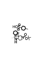 C[C@@H](NC1CCN(C(=O)OC(C)(C)C)CC1(F)F)c1ccccc1.Cc1ccc(S(=O)(=O)O)cc1